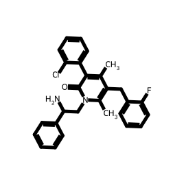 Cc1c(Cc2ccccc2F)c(C)n(CC(N)c2ccccc2)c(=O)c1-c1ccccc1Cl